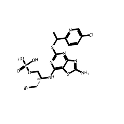 CC(C)C[C@H](COP(=O)(O)O)Nc1nc(SC(C)c2ccc(Cl)cn2)nc2nc(N)sc12